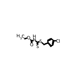 CCOC(=O)NC(=S)SCc1ccc(Cl)cc1